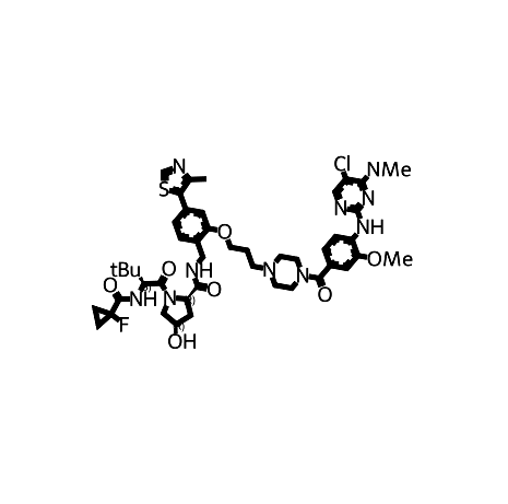 CNc1nc(Nc2ccc(C(=O)N3CCN(CCCOc4cc(-c5scnc5C)ccc4CNC(=O)[C@H]4C[C@@H](O)CN4C(=O)[C@@H](NC(=O)C4(F)CC4)C(C)(C)C)CC3)cc2OC)ncc1Cl